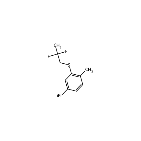 Cc1ccc(C(C)C)cc1SCC(C)(F)F